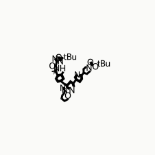 Cc1cc(-c2nn(C3CCCCO3)c3ncc(-c4ccc(C5CCN(C(=O)OC(C)(C)C)CC5)nc4)cc23)ccc1[C@@H](C)NC(=O)c1noc(C(C)(C)C)n1